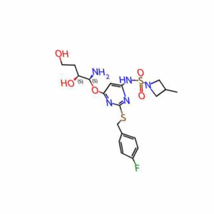 CC1CN(S(=O)(=O)Nc2cc(O[C@H](N)[C@@H](O)CCO)nc(SCc3ccc(F)cc3)n2)C1